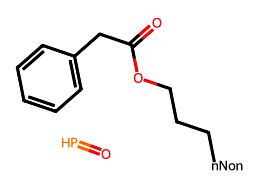 CCCCCCCCCCCCOC(=O)Cc1ccccc1.O=P